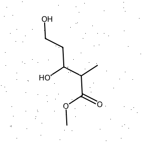 COC(=O)C(C)C(O)CCO